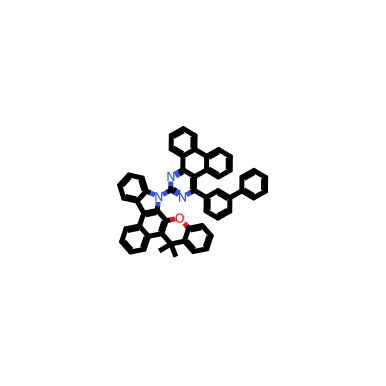 CC1(C)c2ccccc2Oc2c1c1ccccc1c1c3ccccc3n(-c3nc(-c4cccc(-c5ccccc5)c4)c4c5ccccc5c5ccccc5c4n3)c21